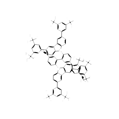 N#Cc1ccc(-n2c3ccc(-c4cc(C(F)(F)F)cc(C(F)(F)F)c4)cc3c3cc(-c4cc(C(F)(F)F)cc(C(F)(F)F)c4)ccc32)c(-c2cc(-c3ccc(C#N)cc3C(F)(F)F)ccc2-n2c3ccc(-c4cc(C(F)(F)F)cc(C(F)(F)F)c4)cc3c3cc(-c4cc(C(F)(F)F)cc(C(F)(F)F)c4)ccc32)c1